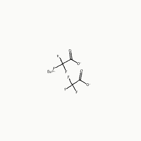 O=C([O-])C(F)(F)F.O=C([O-])C(F)(F)F.[Eu+2]